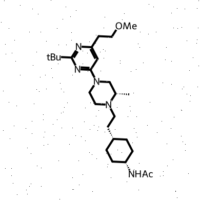 COCCc1cc(N2CCN(CC[C@H]3CC[C@@H](NC(C)=O)CC3)[C@@H](C)C2)nc(C(C)(C)C)n1